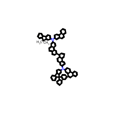 CC1(C)c2ccccc2-c2ccc(N(c3ccc4c(ccc5ccccc54)c3)c3ccc4c(ccc5ccc(-c6cccc7c6ccc6cc(N(c8ccc9c(c8)C(c8ccccc8)(c8ccccc8)c8ccccc8-9)c8ccc9c(ccc%10ccccc%109)c8)ccc67)cc54)c3)cc21